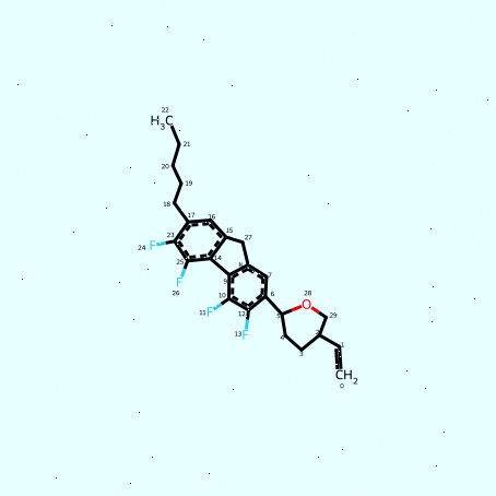 C=CC1CCC(c2cc3c(c(F)c2F)-c2c(cc(CCCCC)c(F)c2F)C3)OC1